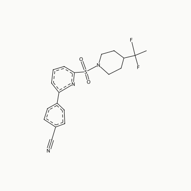 CC(F)(F)C1CCN(S(=O)(=O)c2cccc(-c3ccc(C#N)cc3)n2)CC1